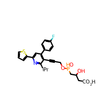 CC(C)c1nc(-c2cccs2)cc(-c2ccc(F)cc2)c1C#CCO[PH](=O)CC(O)CC(=O)O